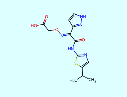 CC(C)c1cnc(NC(=O)C(=NOCC(=O)O)c2cc[nH]n2)s1